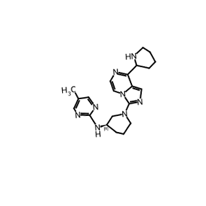 Cc1cnc(N[C@@H]2CCCN(c3ncc4c(C5CCCCN5)nccn34)C2)nc1